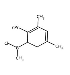 CCCC1=C(C)C=C(C)CC1B(C)Cl